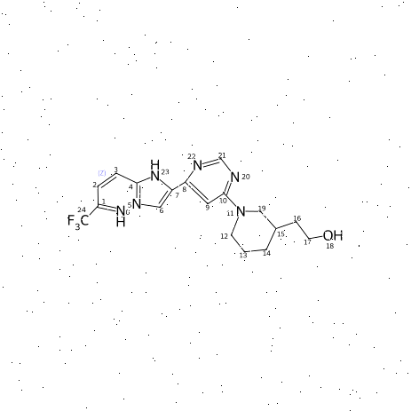 N=C(/C=C\c1ncc(-c2cc(N3CCCC(CCO)C3)ncn2)[nH]1)C(F)(F)F